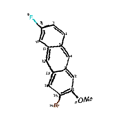 COc1cc2cc3ccc(F)cc3cc2cc1Br